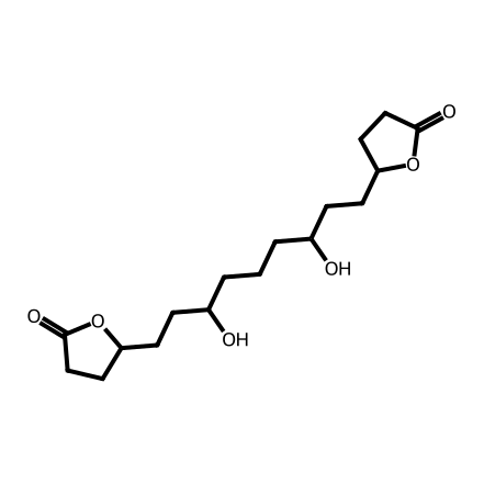 O=C1CCC(CCC(O)CCCC(O)CCC2CCC(=O)O2)O1